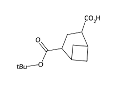 CC(C)(C)OC(=O)C1CC(C(=O)O)C2CC1C2